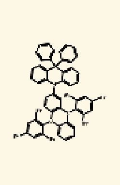 CC(C)c1cc(C(C)C)c(B2c3ccccc3B(c3c(C(C)C)cc(C(C)C)cc3C(C)C)c3cc(N4c5ccccc5C(c5ccccc5)(c5ccccc5)c5ccccc54)ccc32)c(C(C)C)c1